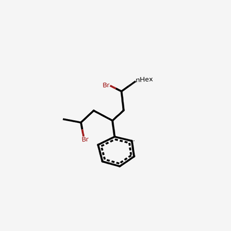 CCCCCCC(Br)CC(CC(C)Br)c1[c]cccc1